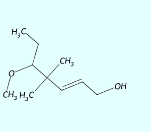 CCC(OC)C(C)(C)C=CCO